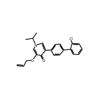 C=CCOc1cn(C(C)C)cc(-c2ccc(-c3ccccc3Cl)cc2)c1=O